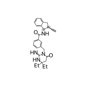 C#C[C@@H]1Cc2ccccc2[C@H]1NC(=O)c1cccc(CN2C(=N)NC(CC)(CC)CC2=O)c1